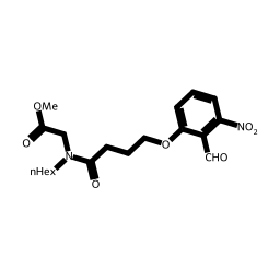 CCCCCCN(CC(=O)OC)C(=O)CCCOc1cccc([N+](=O)[O-])c1C=O